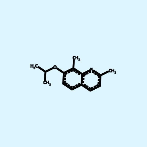 Cc1ccc2ccc(OC(C)C)c(C)c2n1